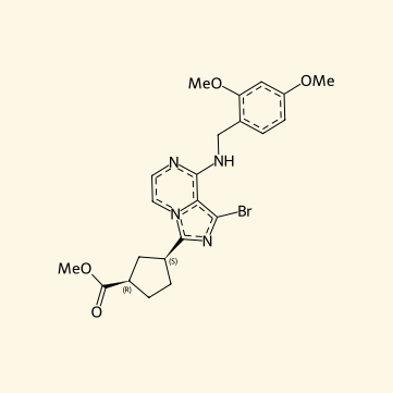 COC(=O)[C@@H]1CC[C@H](c2nc(Br)c3c(NCc4ccc(OC)cc4OC)nccn23)C1